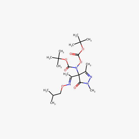 CC(=NOCC(C)C)C1(N(OC(=O)OC(C)(C)C)C(=O)OC(C)(C)C)C(=O)N(C)N=C1C